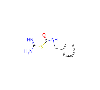 N=C(N)SC(=O)NCc1ccccc1